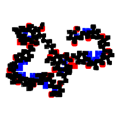 COc1cc2c(cc1CCCCCCOc1cc3c(cc1OC)C(=O)N1C=C(C)C[C@H]1[C@H](O)N3C(=O)OCc1ccc(NC(=O)[C@H](C)NC(=O)[C@@H](NC(=O)CCC(C)(C)OCCC(C)(C)NC(=O)CCN3C(=O)C=CC3=O)C(C)C)cc1)N(C(=O)OCc1ccc(NC(=O)[C@H](C)NC(=O)[C@@H](NC(=O)CCC(C)(C)OCCC(C)(N)NC(=O)CCN3C(=O)C=CC3=O)C(C)C)cc1)[C@@H](O)[C@@H]1CC(C)=CN1C2=O